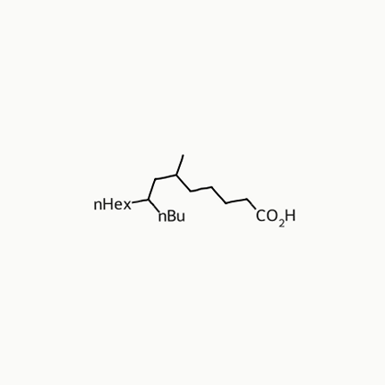 CCCCCCC(CCCC)CC(C)CCCCC(=O)O